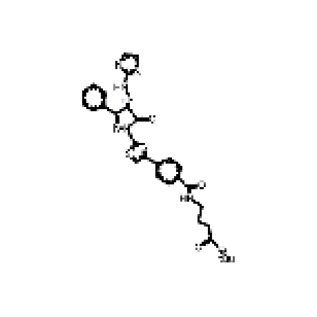 CC(C)(C)OC(=O)CCCNC(=O)c1ccc(-c2csc(N3N=C(c4ccccc4)/C(=N\Nc4nccs4)C3=O)n2)cc1